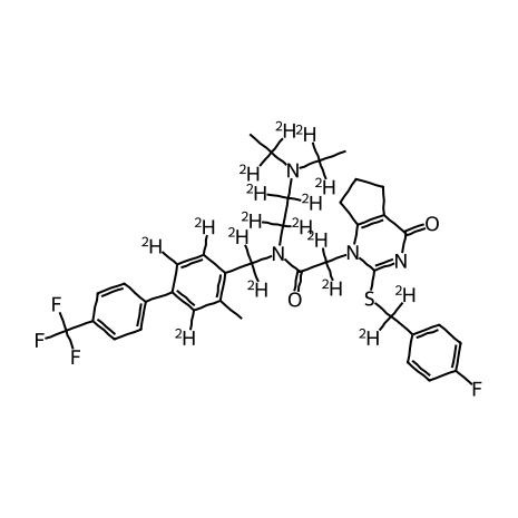 [2H]c1c([2H])c(C([2H])([2H])N(C(=O)C([2H])([2H])n2c(SC([2H])([2H])c3ccc(F)cc3)nc(=O)c3c2CCC3)C([2H])([2H])C([2H])([2H])N(C([2H])([2H])C)C([2H])([2H])C)c(C)c([2H])c1-c1ccc(C(F)(F)F)cc1